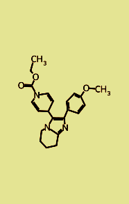 CCOC(=O)N1C=CC(c2c(-c3ccc(OC)cc3)nc3n2CCCC3)C=C1